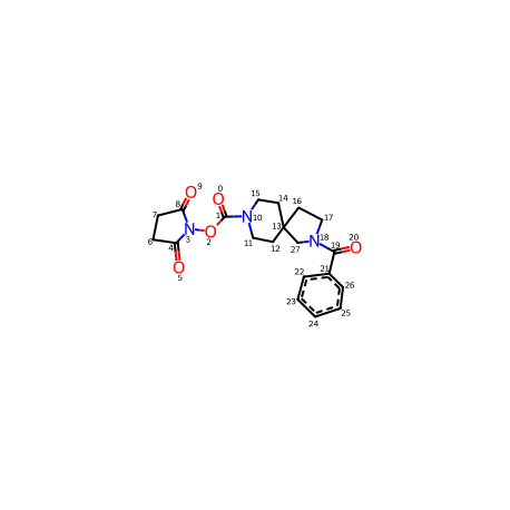 O=C(ON1C(=O)CCC1=O)N1CCC2(CC1)CCN(C(=O)c1ccccc1)C2